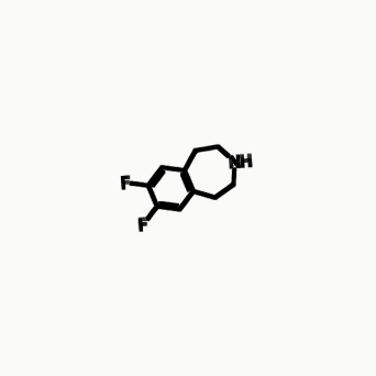 Fc1cc2c(cc1F)CCNCC2